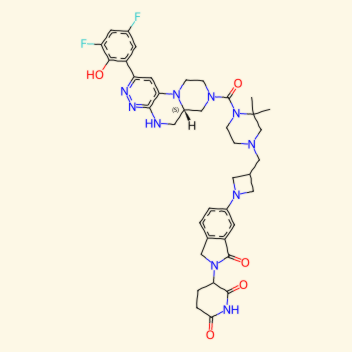 CC1(C)CN(CC2CN(c3ccc4c(c3)C(=O)N(C3CCC(=O)NC3=O)C4)C2)CCN1C(=O)N1CCN2c3cc(-c4cc(F)cc(F)c4O)nnc3NC[C@H]2C1